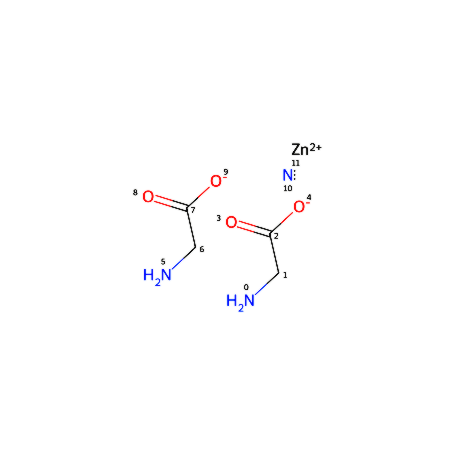 NCC(=O)[O-].NCC(=O)[O-].[N].[Zn+2]